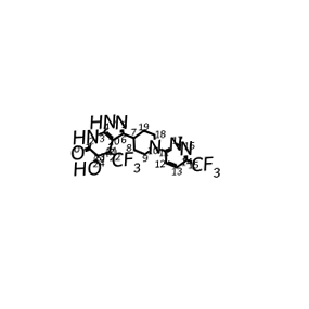 O=C1Nc2[nH]nc(C3CCN(c4ccc(C(F)(F)F)nn4)CC3)c2[C@@H](C(F)(F)F)[C@@H]1O